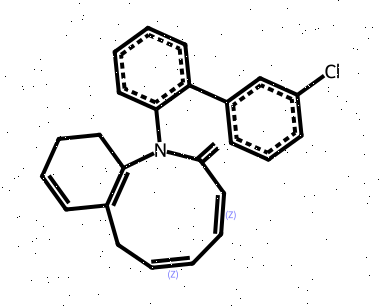 C=C1/C=C\C=C/CC2=C(CCC=C2)N1c1ccccc1-c1cccc(Cl)c1